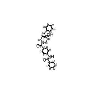 O=C(c1ccc(N[S+]([O-])c2cccnc2)cc1)N1CCC(O)(Cc2ccccc2)CC1